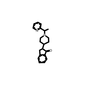 CC(c1ccccn1)N1CCC(C2Cc3ccccc3C2=O)CC1